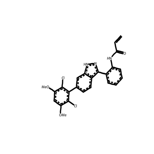 C=CC(=O)Nc1ccccc1-c1n[nH]c2cc(-c3c(Cl)c(OC)cc(OC)c3Cl)ccc12